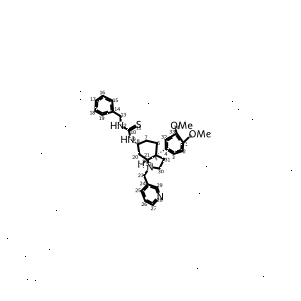 COc1ccc([C@@]23CC[C@@H](NC(=S)NCc4ccccc4)C[C@@H]2N(Cc2cccnc2)CC3)cc1OC